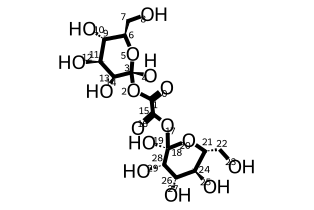 O=C(O[C@@]1(O)O[C@H](CO)[C@@H](O)[C@H](O)[C@@H]1O)C(=O)O[C@@]1(O)O[C@H](CO)[C@@H](O)[C@H](O)[C@@H]1O